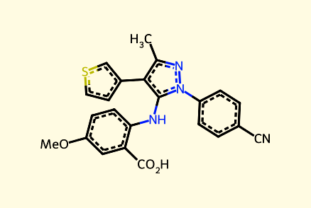 COc1ccc(Nc2c(-c3ccsc3)c(C)nn2-c2ccc(C#N)cc2)c(C(=O)O)c1